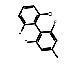 Cc1cc(F)c(-c2c(Cl)[c]ccc2F)c(F)c1